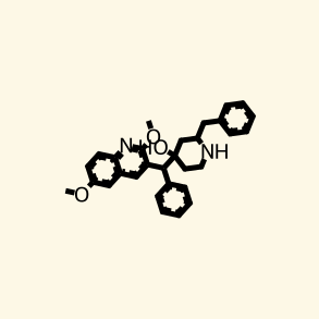 COc1ccc2nc(OC)c(C(c3ccccc3)C3(O)CCNC(Cc4ccccc4)C3)cc2c1